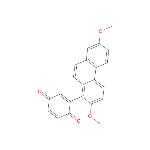 COc1ccc2c(ccc3c(C4=CC(=O)C=CC4=O)c(OC)ccc32)c1